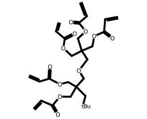 C=CC(=O)OCC(COCC(COC(=O)C=C)(COC(=O)C=C)CC(C)(C)C)(COC(=O)C=C)COC(=O)C=C